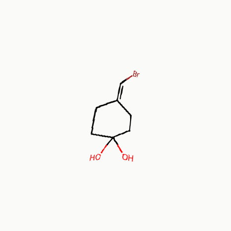 OC1(O)CCC(=CBr)CC1